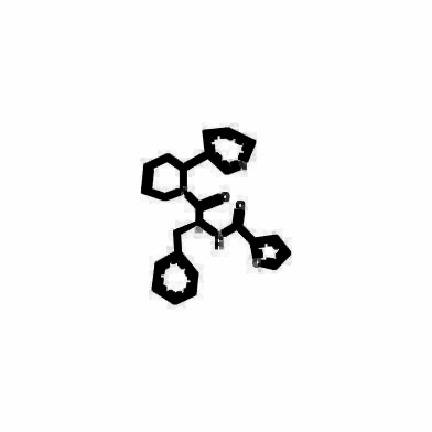 O=C(N[C@@H](Cc1ccccc1)C(=O)N1CC=CCC1c1cccnc1)c1ccco1